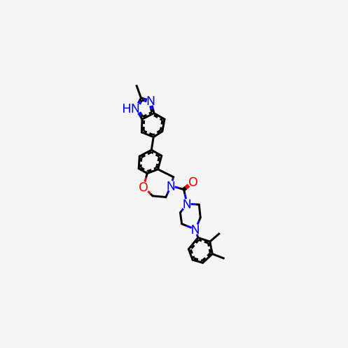 Cc1nc2ccc(-c3ccc4c(c3)CN(C(=O)N3CCN(c5cccc(C)c5C)CC3)CCO4)cc2[nH]1